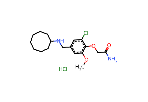 COc1cc(CNC2CCCCCCC2)cc(Cl)c1OCC(N)=O.Cl